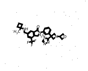 Cn1cnnc1C1(c2cccc(N3Cc4c(cc(CNC5(C)CCC5)cc4C(F)(F)F)C3=O)c2)CN(C2COC2)C1